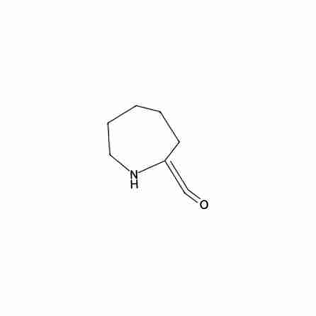 O=C=C1CCCCCN1